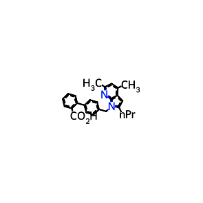 CCCc1cc2c(C)cc(C)nc2n1Cc1ccc(-c2ccccc2C(=O)O)cc1